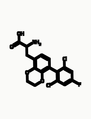 NC(Cc1ccc(-c2c(Cl)cc(F)cc2Cl)c2c1OCCO2)C(=O)O